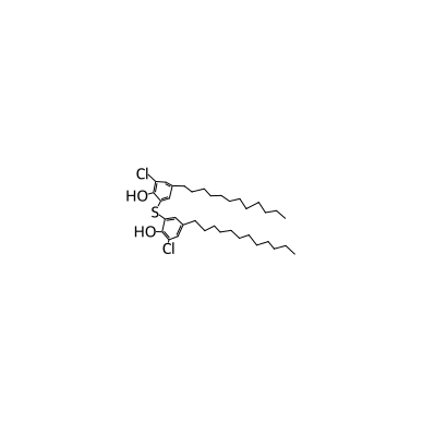 CCCCCCCCCCCCc1cc(Cl)c(O)c(Sc2cc(CCCCCCCCCCCC)cc(Cl)c2O)c1